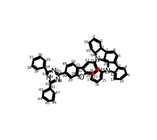 C1=CC2c3ccc4c5ccccc5n(-c5ccccc5)c4c3N(c3ccc4oc5cc(-c6nc(-c7ccccc7)nc(-c7ccccc7)n6)ccc5c4c3)C2C=C1